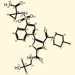 CC1CCN(C(=O)c2nc(C(=O)NCC(C)(C)O)sc2-c2ccc(S(=O)(=O)NC3(C(N)=O)CC3)c3ccccc23)CC1